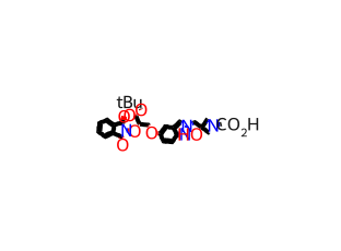 CC(C)(C)OC(=O)C(COc1ccc2nn(CC3(O)CN(C(=O)O)C3)cc2c1)ON1C(=O)c2ccccc2C1=O